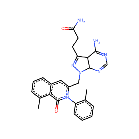 Cc1ccccc1-n1c(CN2N=C(CCC(N)=O)C3C(N)=NC=NC32)cc2cccc(C)c2c1=O